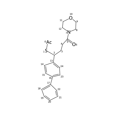 CC(=O)SC(CCC(=O)N1CCOCC1)c1ccc(-c2ccccc2)cc1